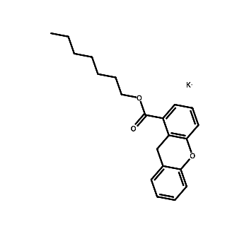 CCCCCCCOC(=O)c1cccc2c1Cc1ccccc1O2.[K]